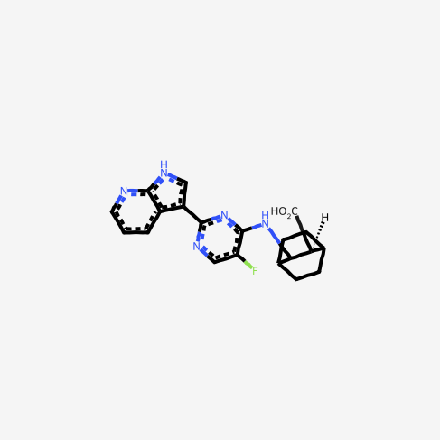 O=C(O)[C@H]1C2CCC(CC2)C1Nc1nc(-c2c[nH]c3ncccc23)ncc1F